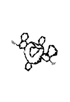 Brc1cc2ccc3ccccc3ccc3cc(Br)c4ccccc4c3c3c4ccccc4c(c4ccccc43)c2c2ccccc12